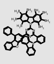 Bc1c(B)c(B)c2c(c1B)c1c(B)c(B)c(B)c(B)c1n2-c1nc(-c2cc(-c3ccccc3)c3c(c2)oc2ccccc23)nc(-c2ccccc2-n2c3ccccc3c3ccccc32)n1